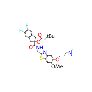 COc1cc2sc(CNC(=O)C3(OC(=O)CC(C)(C)C)Cc4cc(F)c(F)cc4C3)nc2cc1OCCCN(C)C